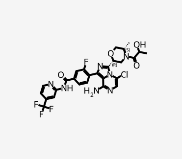 CC(O)C(=O)N1C[C@H](c2nc(-c3ccc(C(=O)Nc4cc(C(F)(F)F)ccn4)cc3F)c3c(N)ncc(Cl)n23)OC[C@@H]1C